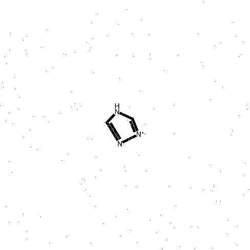 [C]1=N[N+]=CN1